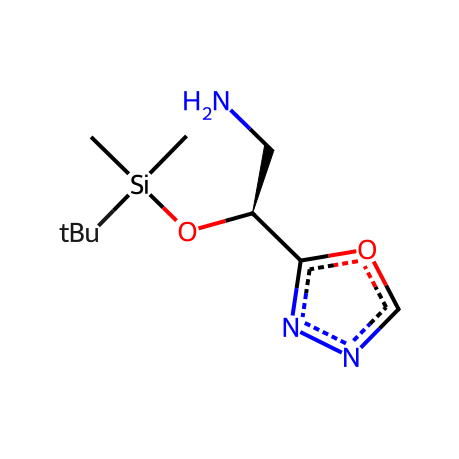 CC(C)(C)[Si](C)(C)O[C@@H](CN)c1nnco1